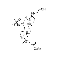 COC(=O)CC[C@@H](C)[C@H]1CCC2C3C(CC[C@@]21C)[C@@]1(C)CCN(NCCO)C[C@H]1C[C@H]3NS(C)(=O)=O